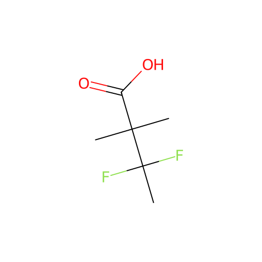 CC(F)(F)C(C)(C)C(=O)O